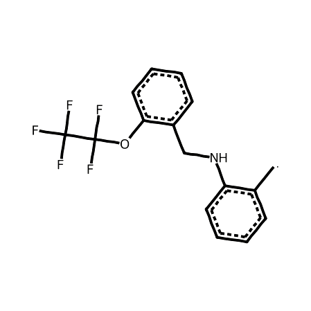 [CH2]c1ccccc1NCc1ccccc1OC(F)(F)C(F)(F)F